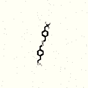 CCCc1ccc(C=NN=Cc2ccc(CC(F)(F)F)cc2)cc1